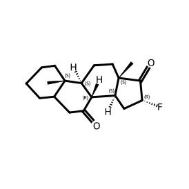 C[C@]12CCCCC1CC(=O)[C@@H]1[C@@H]2CC[C@]2(C)C(=O)[C@H](F)C[C@@H]12